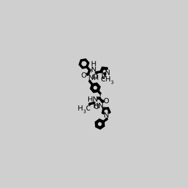 CCC(=O)N[C@H](Cc1ccc(CNC(=O)[C@@H](NC(=O)c2ccnn2C)C2CCCCC2)cc1)C(=O)N[C@H]1CCN(Cc2ccccc2)C1